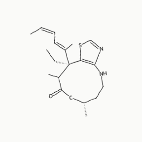 C/C=C\C=C(/C)[C@@]1(CC)c2scnc2NCC[C@H](C)CC(=O)C1C